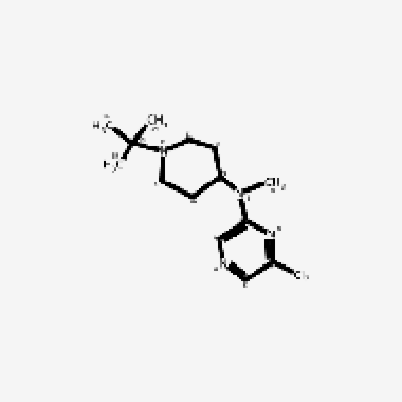 CN(c1cncc(Cl)n1)C1CCN(C(C)(C)C)CC1